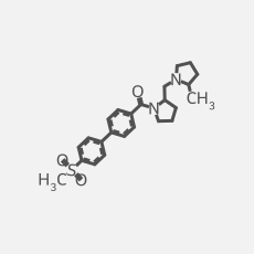 CC1CCCN1CC1CCCN1C(=O)c1ccc(-c2ccc(S(C)(=O)=O)cc2)cc1